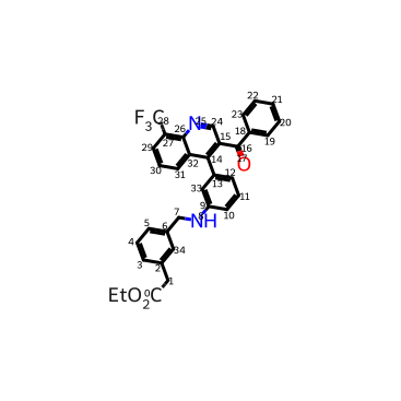 CCOC(=O)Cc1cccc(CNc2cccc(-c3c(C(=O)c4ccccc4)cnc4c(C(F)(F)F)cccc34)c2)c1